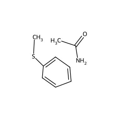 CC(N)=O.CSc1ccccc1